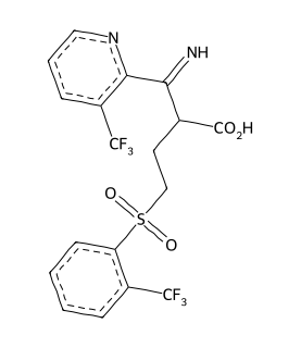 N=C(c1ncccc1C(F)(F)F)C(CCS(=O)(=O)c1ccccc1C(F)(F)F)C(=O)O